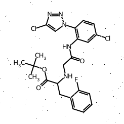 CC(C)(C)OC(=O)C(Cc1ccccc1F)NCC(=O)Nc1cc(Cl)ccc1-n1cc(Cl)nn1